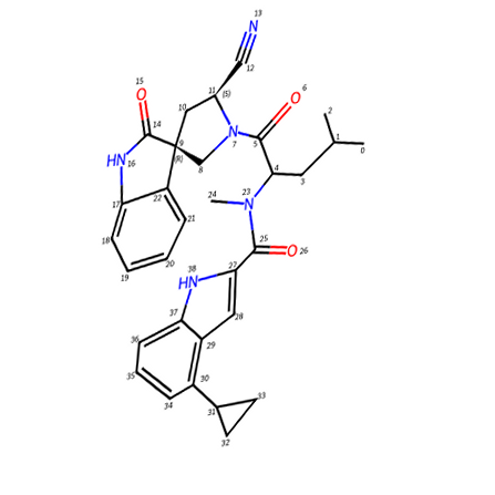 CC(C)CC(C(=O)N1C[C@]2(C[C@H]1C#N)C(=O)Nc1ccccc12)N(C)C(=O)c1cc2c(C3CC3)cccc2[nH]1